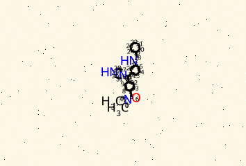 CCN(CC)C(=O)c1ccc([C@H](c2cccc(NCC3CCCCC3)c2)N2CCNCC2)cc1